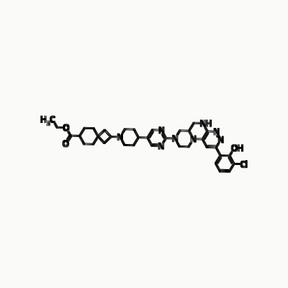 CCOC(=O)C1CCC2(CC1)CC(N1CCC(c3cnc(N4CCN5c6cc(-c7cccc(Cl)c7O)nnc6NCC5C4)nc3)CC1)C2